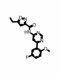 CCc1cc(C(=O)Nc2cc(-c3cc(F)ccc3OC)ncn2)no1